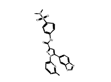 Cc1cccc(-n2nc(C(=O)Nc3ccc(S(=O)(=O)N(C)C)cc3)cc2-c2ccc3ncsc3c2)n1